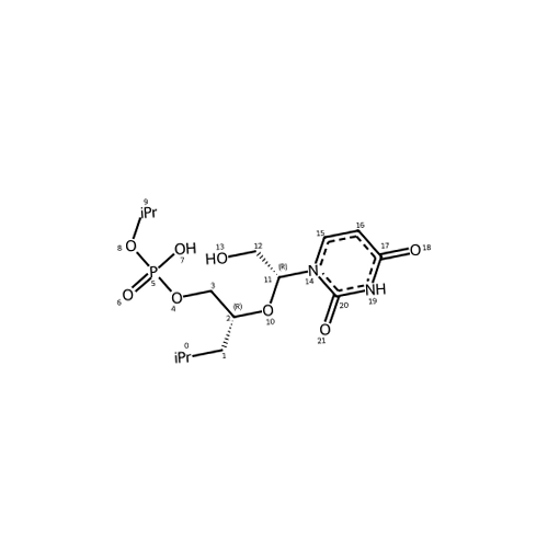 CC(C)C[C@H](COP(=O)(O)OC(C)C)O[C@H](CO)n1ccc(=O)[nH]c1=O